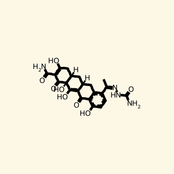 C/C(=N/NC(N)=O)c1ccc(O)c2c1C[C@H]1C[C@H]3CC(O)=C(C(N)=O)C(=O)[C@@]3(O)C(O)=C1C2=O